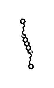 c1ccc(CCCCc2cc3cc4cc5cc6sc(CCCCc7ccccc7)cc6cc5cc4cc3s2)cc1